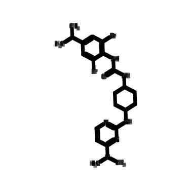 CC(C)c1cc(Br)c(NC(=O)NC2CCC(Nc3nccc(N(C)C)n3)CC2)c(Br)c1